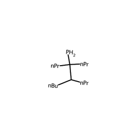 CCCCC(CCC)C(P)(CCC)CCC